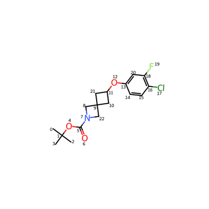 CC(C)(C)OC(=O)N1CC2(CC(Oc3ccc(Cl)c(F)c3)C2)C1